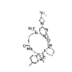 CN1CCCC(=O)NCC(C)(c2ccc(F)cc2)C(=O)N2CCCC[C@H]2c2cc3nc(N4CC(N)C4)cc1n3n2